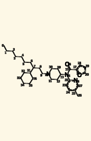 CCCCCCCC(CCN1CCC(N(C(=O)c2ccco2)c2ccc(C)cn2)CC1)C1CCCCC1